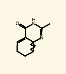 CC1=NC23C=CCC2CCC=C3C(=O)N1